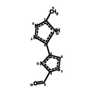 Cc1nnc(-c2csc(C=O)n2)[nH]1